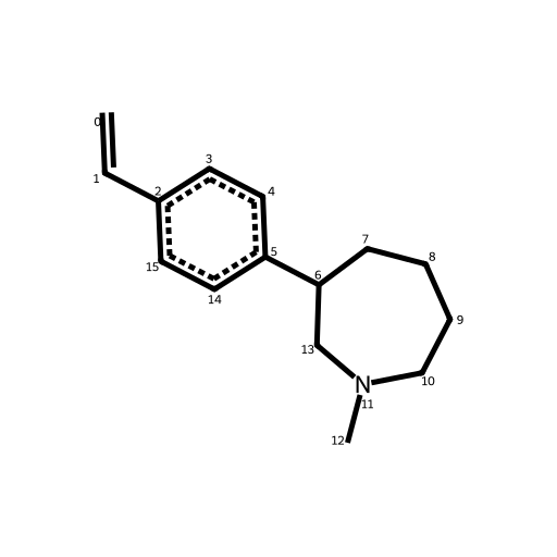 C=Cc1ccc(C2CCCCN(C)C2)cc1